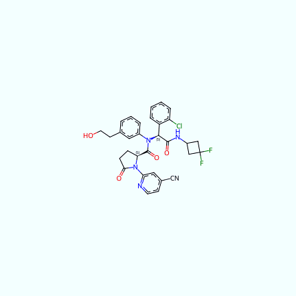 N#Cc1ccnc(N2C(=O)CC[C@H]2C(=O)N(c2cccc(CCO)c2)[C@H](C(=O)NC2CC(F)(F)C2)c2ccccc2Cl)c1